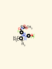 COC(=O)CN(C)C(=O)c1cc2nc(Nc3ccc(OC(F)(F)F)cc3)n([C@H]3C[C@@H](C)CC(C)(C)C3)c2cc1F